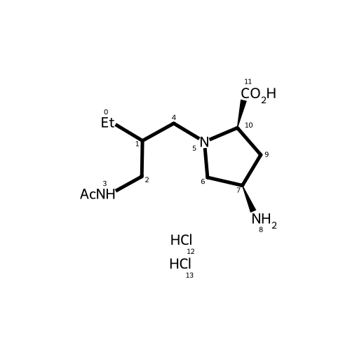 CCC(CNC(C)=O)CN1C[C@H](N)C[C@@H]1C(=O)O.Cl.Cl